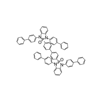 O=P1(c2ccc(-c3ccc(P4(=O)N(c5ccc(-c6ccccc6)cc5)c5ccccc5N4c4ccc(-c5ccccc5)cc4)cc3)cc2)N(c2ccc(-c3ccccc3)cc2)c2ccccc2N1c1ccc(-c2ccccc2)cc1